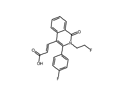 O=C(O)/C=C/c1c(-c2ccc(F)cc2)n(CCF)c(=O)c2ccccc12